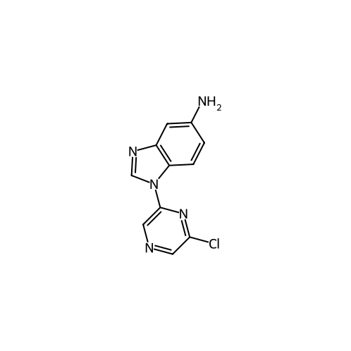 Nc1ccc2c(c1)ncn2-c1cncc(Cl)n1